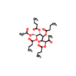 CCCC(=O)OC(C(C)=O)C(=O)[C@H](OC(=O)CCC)[C@@H](OC(=O)CCC)[C@@H](COC(C)=O)OC(=O)CCC